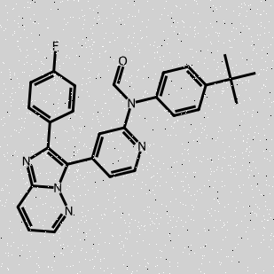 CC(C)(C)c1ccc(N(C=O)c2cc(-c3c(-c4ccc(F)cc4)nc4cccnn34)ccn2)cc1